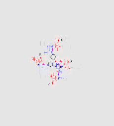 C=CC(=O)OCC(C)(COC(=O)C=C)NC(=O)Nc1ccc(C(OC(=O)NC(C)(COC(=O)C=C)COC(=O)C=C)(c2ccc(NC(=O)NC(C)(COC(=O)C=C)COC(=O)C=C)cc2)c2ccc(NC(=O)NC(C)(COC(=O)C=C)COC(=O)C=C)cc2)cc1